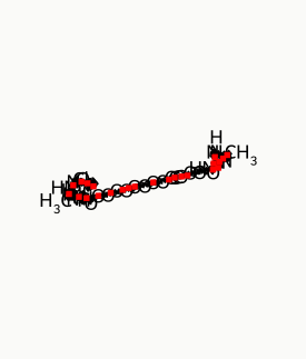 Cc1cnc(N2CCC(C(=O)NCCOCCOCCOCCOCCOCCOCCOCCOCCOCCOCCOCCOCCC(=O)N3CCN(c4cc(Nc5ncc(C(=O)Nc6c(C)cccc6Cl)s5)nc(C)n4)CC3)CC2)c(-c2ccn[nH]2)c1